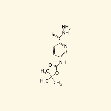 CC(C)(C)OC(=O)Nc1ccc(C(=S)NN)nc1